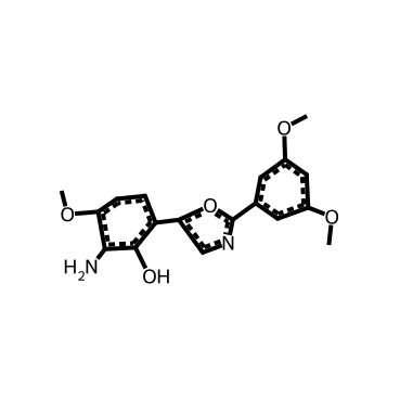 COc1cc(OC)cc(-c2ncc(-c3ccc(OC)c(N)c3O)o2)c1